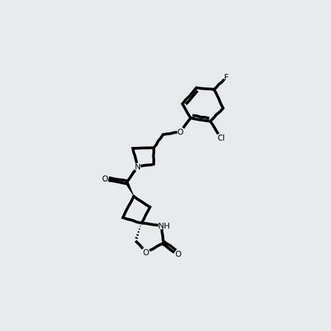 O=C1N[C@]2(CO1)C[C@H](C(=O)N1CC(COC3=C(Cl)CC(F)C=C3)C1)C2